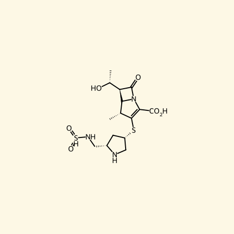 C[C@H]1C(S[C@@H]2CN[C@H](CN[SH](=O)=O)C2)=C(C(=O)O)N2C(=O)[C@H]([C@@H](C)O)C12